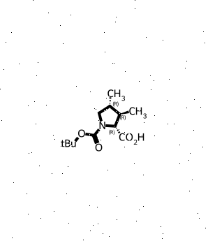 C[C@@H]1[C@@H](C)CN(C(=O)OC(C)(C)C)[C@H]1C(=O)O